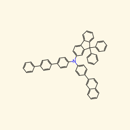 c1ccc(-c2ccc(-c3ccc(N(c4ccc(-c5ccc6ccccc6c5)cc4)c4ccc5c(c4)C(c4ccccc4)(c4ccccc4)c4ccccc4-5)cc3)cc2)cc1